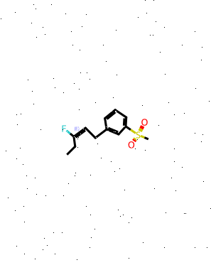 CC/C(F)=C\Cc1cccc(S(C)(=O)=O)c1